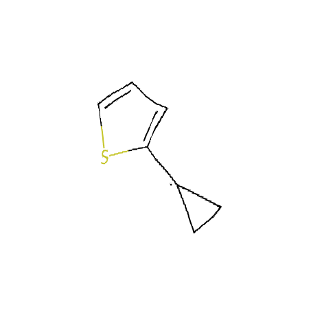 c1csc([C]2CC2)c1